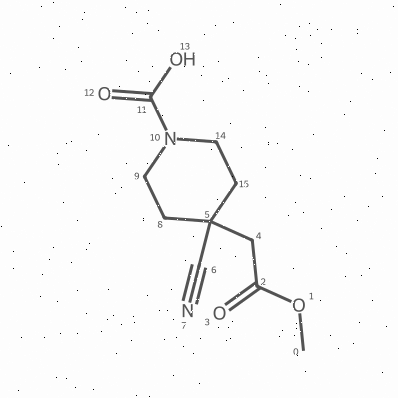 COC(=O)CC1(C#N)CCN(C(=O)O)CC1